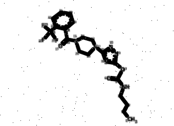 CCCCNC(=O)Oc1nnc(N2CCN(C(=O)c3ccccc3C(F)(F)F)CC2)s1